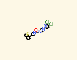 O=C(CN1CCN(c2ccc(Cl)c(Cl)n2)CC1)N1CC=C(c2cccc3ccsc23)CC1